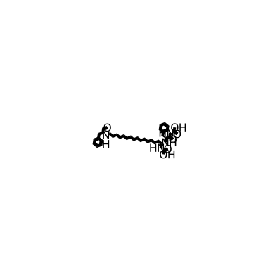 O=CC(Cc1ccccc1)NCCCCCCCCCCCCCCCC(NC(=O)O)N[C@@H](Cc1ccccc1)C(=O)NC(=O)O